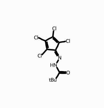 CC(C)(C)C(=O)NN=C1C(Cl)=C(Cl)C(Cl)=C1Cl